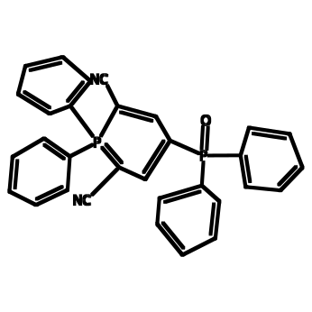 N#CC1=CC(P(=O)(c2ccccc2)c2ccccc2)=CC(C#N)=P1(c1ccccc1)c1ccccc1